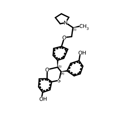 C[C@@H](COc1ccc([C@@H]2Oc3ccc(O)cc3S[C@@H]2c2cccc(O)c2)cc1)N1CCCC1